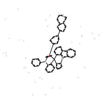 c1ccc(P2c3ccccc3C3(c4ccccc4-n4c5ccccc5c5cccc3c54)c3cc(-c4ccc(-c5ccc6ccccc6c5)cc4)ccc32)cc1